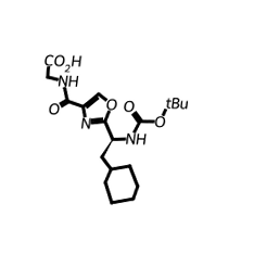 CC(C)(C)OC(=O)N[C@@H](CC1CCCCC1)c1nc(C(=O)NCC(=O)O)co1